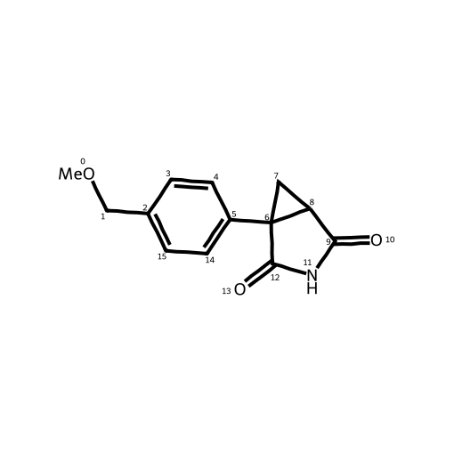 COCc1ccc(C23CC2C(=O)NC3=O)cc1